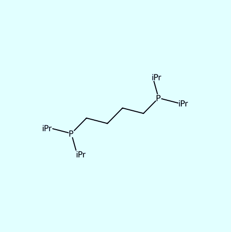 CC(C)P(CCCCP(C(C)C)C(C)C)C(C)C